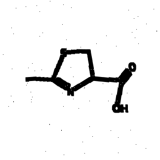 CC1=NC(C(=O)O)CS1